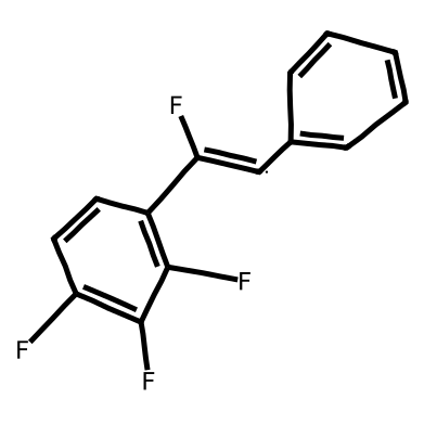 FC(=[C]c1ccccc1)c1ccc(F)c(F)c1F